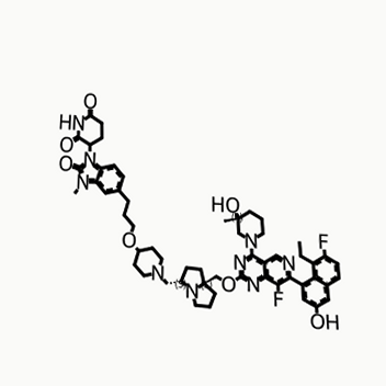 CCc1c(F)ccc2cc(O)cc(-c3ncc4c(N5CCC[C@@](C)(O)C5)nc(OC[C@@]56CCCN5[C@H](CN5CCC(OCCCc7ccc8c(c7)n(C)c(=O)n8C7CCC(=O)NC7=O)CC5)CC6)nc4c3F)c12